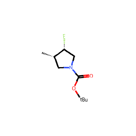 C[C@H]1CN(C(=O)OC(C)(C)C)C[C@H]1F